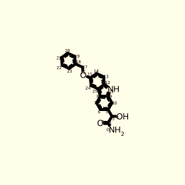 NC(=O)C(O)c1ccc2c(c1)[nH]c1ccc(OCc3ccccc3)cc12